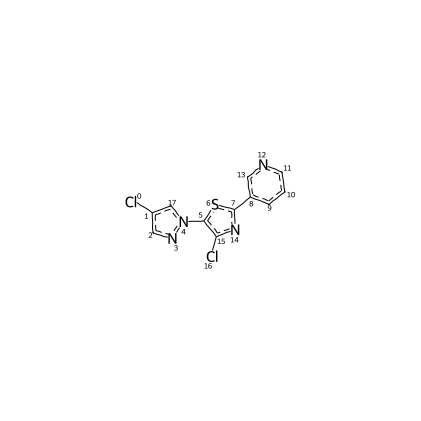 Clc1cnn(-c2sc(-c3cccnc3)nc2Cl)c1